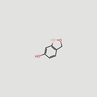 Oc1ccc2c(c1)BOC2